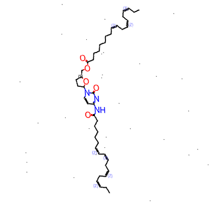 CC/C=C\C/C=C\C/C=C\C=C/CCCCCC(=O)Nc1ccn(C2CC[C@@H](COC(=O)CCCCCCC/C=C\C/C=C\C/C=C\CC)O2)c(=O)n1